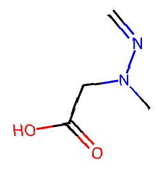 C=NN(C)CC(=O)O